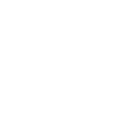 c1ccc2c(c1)oc1cccc([C]3CCCO3)c12